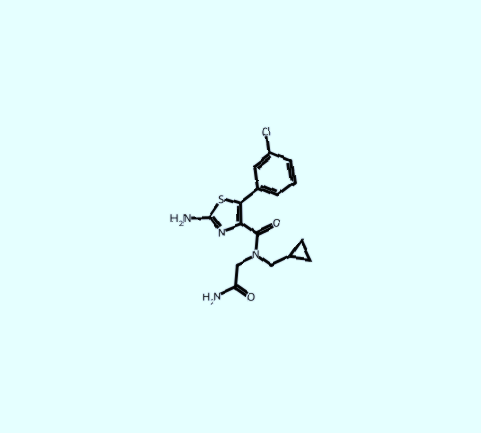 NC(=O)CN(CC1CC1)C(=O)c1nc(N)sc1-c1cccc(Cl)c1